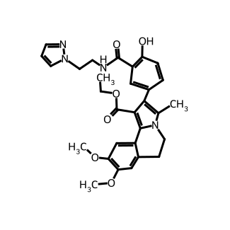 CCOC(=O)c1c(-c2ccc(O)c(C(=O)NCCn3cccn3)c2)c(C)n2c1-c1cc(OC)c(OC)cc1CC2